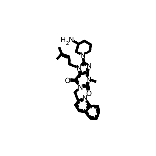 CC(C)=CCn1c(N2CCCC(N)C2)nc2c1c(=O)n(Cc1ccc3ccccc3n1)c(=O)n2C